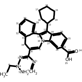 C=N/C(=N\N(N)CC)C1=Cn2c(c(C3CCCCC3)c3ccc(C(=O)O)cc32)-c2ccccc2C1